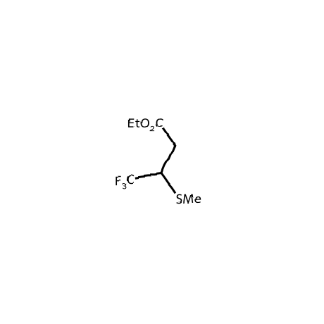 CCOC(=O)CC(SC)C(F)(F)F